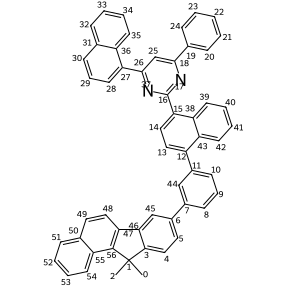 CC1(C)c2ccc(-c3cccc(-c4ccc(-c5nc(-c6ccccc6)cc(-c6cccc7ccccc67)n5)c5ccccc45)c3)cc2-c2ccc3ccccc3c21